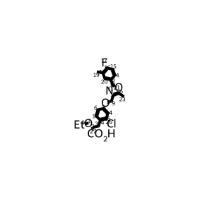 CCOC(Cc1ccc(OCc2nc(-c3ccc(F)c(C)c3)oc2C)cc1Cl)C(=O)O